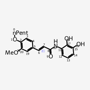 CCCCCOc1ccc(/C=C/C(=O)Nc2cccc(O)c2O)cc1OC